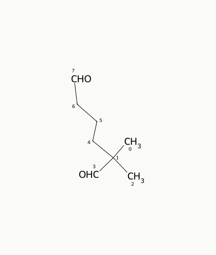 CC(C)(C=O)CCCC=O